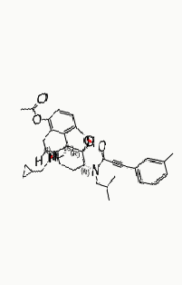 CC(=O)Oc1ccc2c3c1C[C@@H]1[C@@H]4CC[C@@H](N(CC(C)C)C(=O)C#Cc5cccc(C)c5)[C@H](O2)[C@]34CCN1CC1CC1